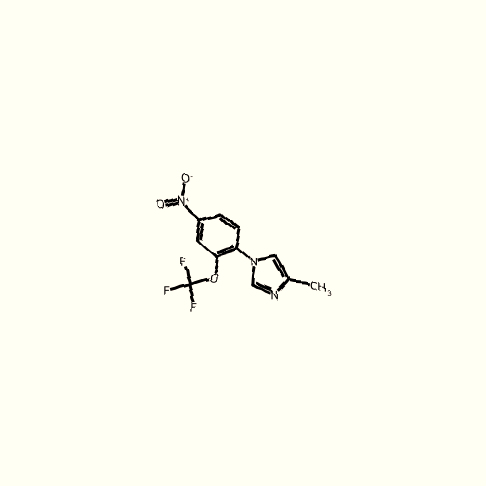 Cc1cn(-c2ccc([N+](=O)[O-])cc2OC(F)(F)F)cn1